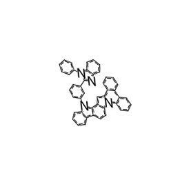 c1ccc(-n2c(-c3cccc(-n4c5ccccc5c5ccc6c(cc7c8ccccc8c8ccccc8n76)c54)c3)nc3ccccc32)cc1